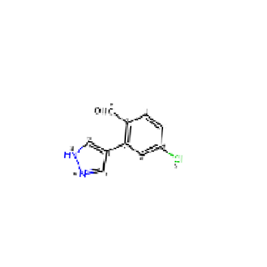 O=Cc1ccc(Cl)cc1-c1cn[nH]c1